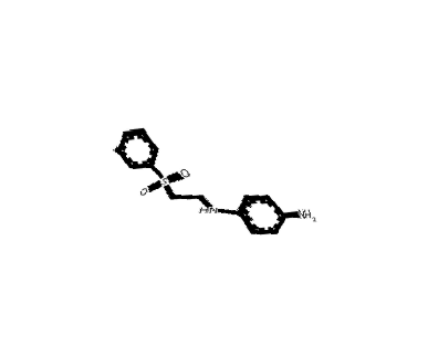 Nc1ccc(NCCS(=O)(=O)c2ccccc2)cc1